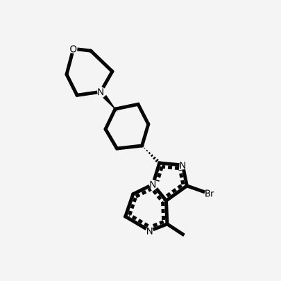 Cc1nccn2c1c(Br)nc2[C@H]1CC[C@H](N2CCOCC2)CC1